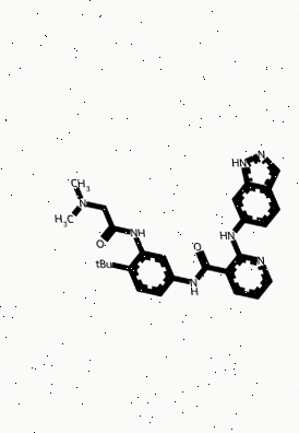 CN(C)CC(=O)Nc1cc(NC(=O)c2cccnc2Nc2ccc3cn[nH]c3c2)ccc1C(C)(C)C